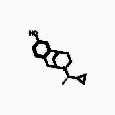 C[C@@H](C1CC1)N1CCC23CCCCC2C1Cc1ccc(O)cc13